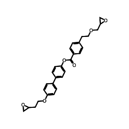 O=C(Oc1ccc(-c2ccc(OCCC3CO3)cc2)cc1)c1ccc(CCOCC2CO2)cc1